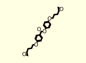 O=C(Oc1ccc(OCCCC2CO2)cc1)c1ccc(OCCCC2CO2)cc1